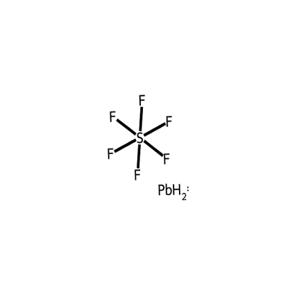 FS(F)(F)(F)(F)F.[PbH2]